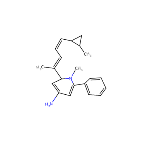 C/C(=C\C=C/C1CC1C)C1C=C(N)C=C(c2ccccc2)N1C